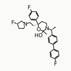 C[C@@H](c1ccc(-c2ccc(F)cc2)cc1)N1CC[C@](CCN2CC[C@@H](F)C2)(c2ccc(F)cc2)OC1(C)O